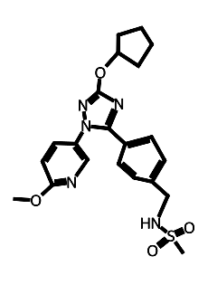 COc1ccc(-n2nc(OC3CCCC3)nc2-c2ccc(CNS(C)(=O)=O)cc2)cn1